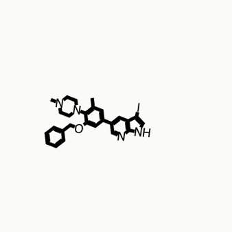 Cc1cc(-c2cnc3[nH]cc(I)c3c2)cc(OCc2ccccc2)c1N1CCN(C)CC1